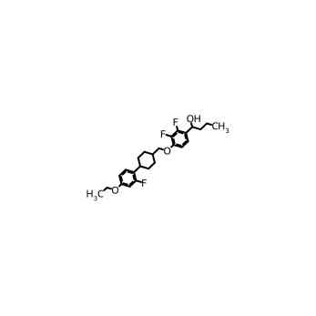 CCCC(O)c1ccc(OCC2CCC(c3ccc(OCC)cc3F)CC2)c(F)c1F